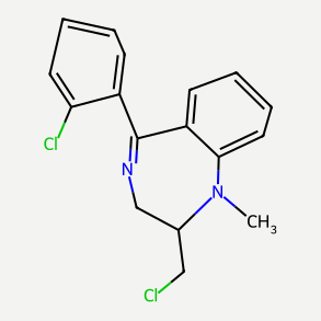 CN1c2ccccc2C(c2ccccc2Cl)=NCC1CCl